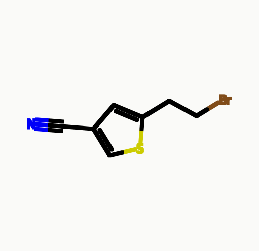 N#Cc1csc(CCBr)c1